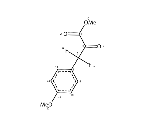 COC(=O)C(=O)C(F)(F)c1ccc(OC)cc1